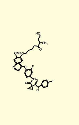 COc1cc2nccc(Oc3ccc(NC(=O)C4(C(=O)Nc5ccc(F)cc5)CC4)cc3F)c2cc1OCCCCC(=O)C(C)CCO